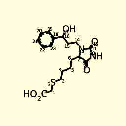 O=C(O)CSCCCCC1C(=O)NC(=O)N1CCC(O)c1ccccc1